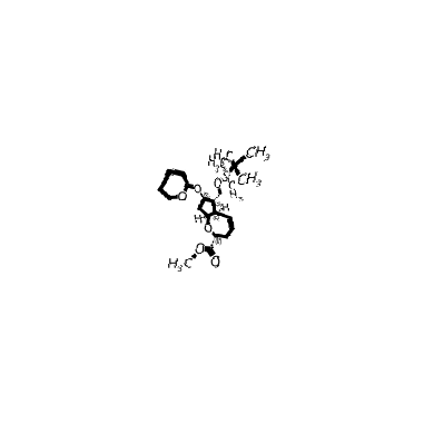 COC(=O)[C@H]1CC=C[C@@H]2[C@@H](CO[Si](C)(C)C(C)(C)C)[C@H](OC3CCCCO3)C[C@@H]2O1